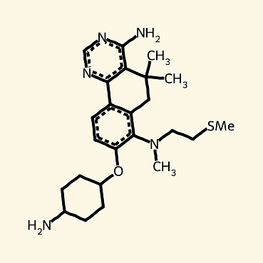 CSCCN(C)c1c(OC2CCC(N)CC2)ccc2c1CC(C)(C)c1c(N)ncnc1-2